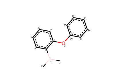 CB(C)c1ccccc1Oc1ccccc1